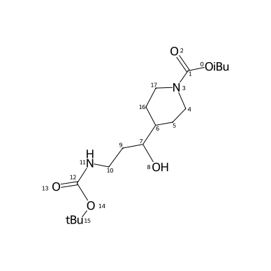 CC(C)COC(=O)N1CCC(C(O)CCNC(=O)OC(C)(C)C)CC1